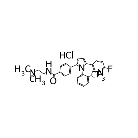 CN(C)CCNC(=O)c1ccc(-c2ccc(-c3ccc(F)nc3)n2-c2ccccc2C(F)(F)F)cc1.Cl